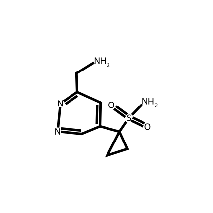 NCc1cc(C2(S(N)(=O)=O)CC2)cnn1